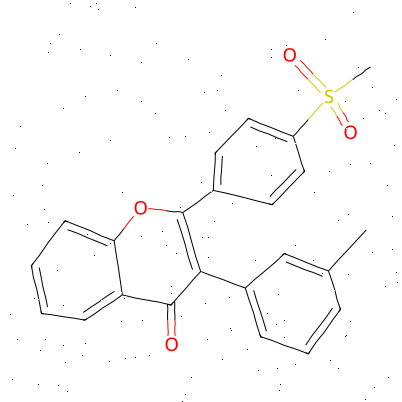 Cc1cccc(-c2c(-c3ccc(S(C)(=O)=O)cc3)oc3ccccc3c2=O)c1